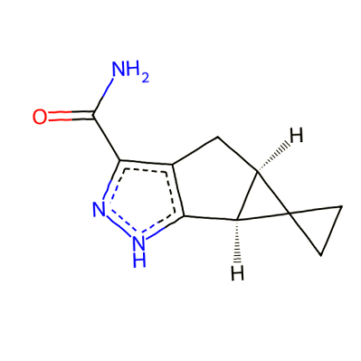 NC(=O)c1n[nH]c2c1C[C@@H]1[C@H]2C12CC2